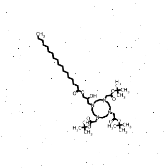 CCCCCCCCCCCCCCCCCC(=O)OCC(O)CN1CCN(CC(=O)OC(C)(C)C)CCN(CC(=O)OC(C)(C)C)CCN(CC(=O)OC(C)(C)C)CC1